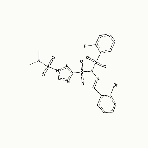 CN(C)S(=O)(=O)n1cnc(S(=O)(=O)N(/N=C/c2ccccc2Br)S(=O)(=O)c2ccccc2F)n1